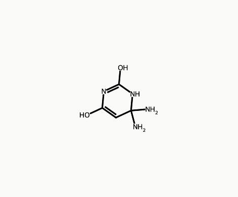 NC1(N)C=C(O)N=C(O)N1